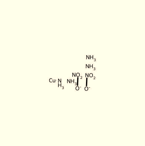 N.N.N.N.O=[N+]([O-])[O-].O=[N+]([O-])[O-].[Cu]